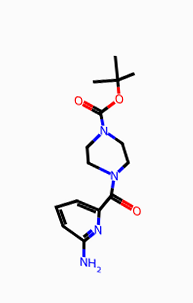 CC(C)(C)OC(=O)N1CCN(C(=O)c2cccc(N)n2)CC1